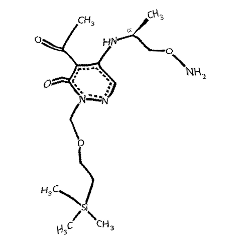 CC(=O)c1c(N[C@@H](C)CON)cnn(COCC[Si](C)(C)C)c1=O